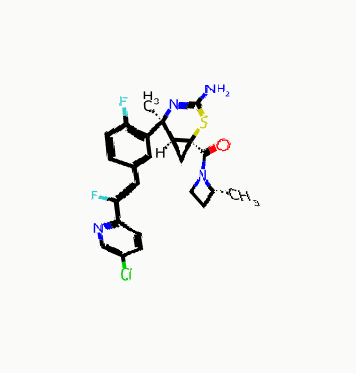 C[C@@H]1CCN1C(=O)[C@]12C[C@H]1[C@@](C)(c1cc(/C=C(\F)c3ccc(Cl)cn3)ccc1F)N=C(N)S2